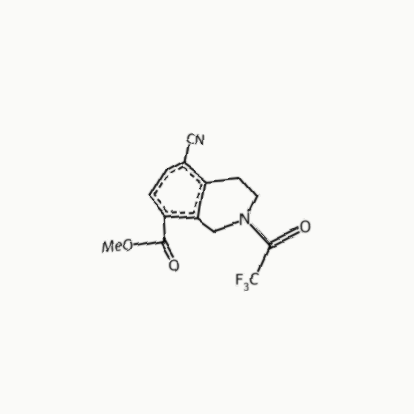 COC(=O)c1ccc(C#N)c2c1CN(C(=O)C(F)(F)F)CC2